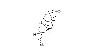 CCOC[C@@]1(O)CC[C@@]2(CC)[C@H](CC[C@@H]3[C@@H]2CC[C@](C)(C=O)[C@H]3C)C1